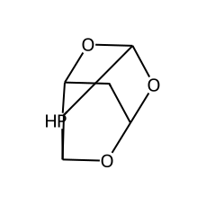 C1C2OC3CC(O2)PC1O3